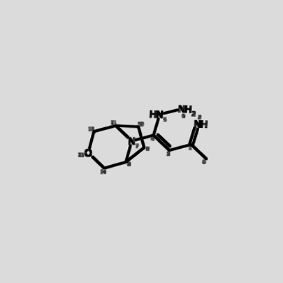 CC(=N)/C=C(\NN)N1C2CCC1COC2